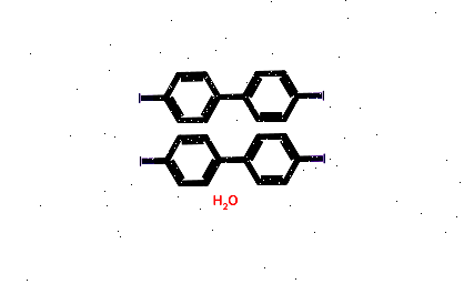 Ic1ccc(-c2ccc(I)cc2)cc1.Ic1ccc(-c2ccc(I)cc2)cc1.O